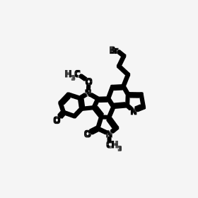 COn1c2c(c3c4c(c5c6c(c(CCCBr)cc5c31)=CC=N6)=CN(C)C4=O)CC(=O)C=C2